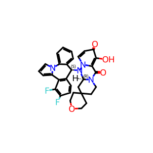 O=C1c2c(O)c(=O)ccn2N([C@@H]2c3ccccc3-n3cccc3-c3c2ccc(F)c3F)[C@@H]2CC3(CCOCC3)CCN12